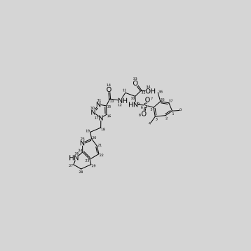 Cc1cc(C)c(S(=O)(=O)NC(CNC(=O)c2cn(CCc3ccc4c(n3)NCCC4)nn2)C(=O)O)c(C)c1